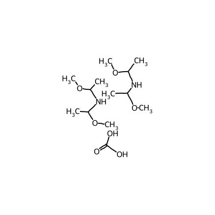 COC(C)NC(C)OC.COC(C)NC(C)OC.O=C(O)O